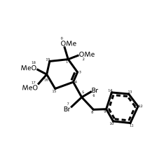 COC1(OC)C=C(C(Br)(Br)Cc2ccccc2)CC(OC)(OC)C1